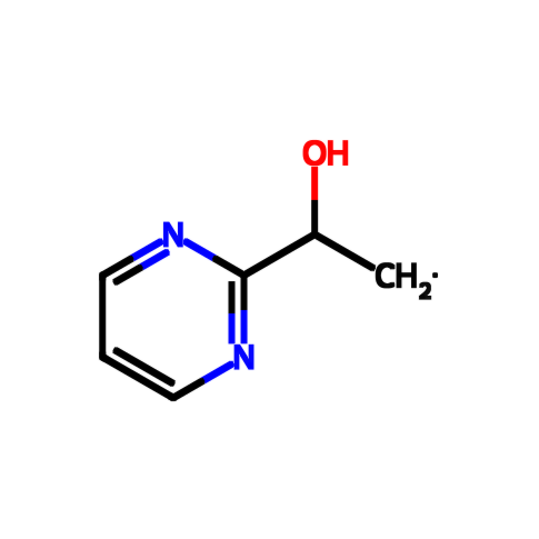 [CH2]C(O)c1ncccn1